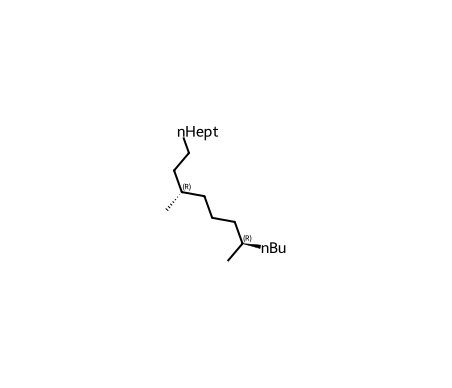 CCCCCCCCC[C@@H](C)CCC[C@H](C)CCCC